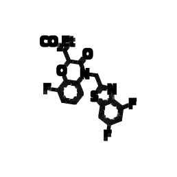 CCOC(=O)CC1Oc2c(F)cccc2N(Cc2nc3c(F)cc(F)cc3s2)C1=O